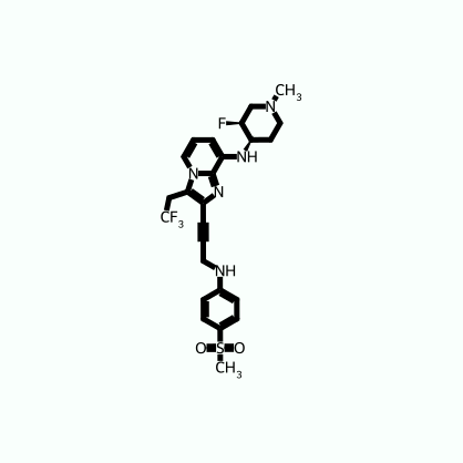 CN1CC[C@@H](Nc2cccn3c(CC(F)(F)F)c(C#CCNc4ccc(S(C)(=O)=O)cc4)nc23)[C@@H](F)C1